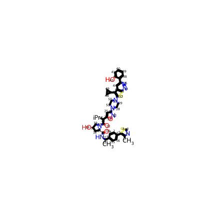 Cc1ncsc1-c1ccc([C@H](C)NC(=O)[C@@H]2C[C@@H](O)CN2C(=O)C(c2cc(N3CCN(c4sc5nnc(-c6ccccc6O)cc5c4C4CC4)CC3)no2)C(C)C)cc1